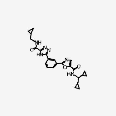 O=C(NCC1CC1)c1nnc(-c2cccc(-c3ncc(C(=O)NC(C4CC4)C4CC4)o3)c2)[nH]1